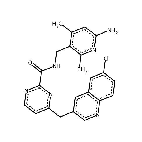 Cc1cc(N)nc(C)c1CNC(=O)c1nccc(Cc2cnc3ccc(Cl)cc3c2)n1